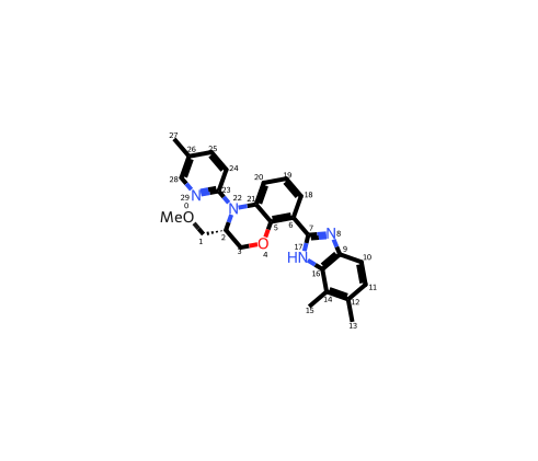 COC[C@H]1COc2c(-c3nc4ccc(C)c(C)c4[nH]3)cccc2N1c1ccc(C)cn1